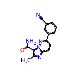 Cc1nc2ccc(-c3cccc(C#N)c3)nn2c1C(N)=O